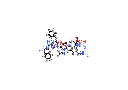 CC(C)C[C@@H](NC(=O)[C@@H](Cc1ccccc1)NC(=O)CNC[C@@H](C)c1ccccc1)C(=O)N[C@H](CCCCCN)C(=O)N1CCC(N)(C(=O)O)CC1